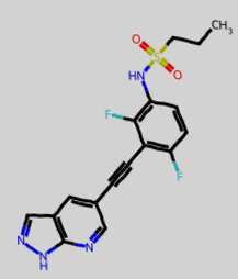 CCCS(=O)(=O)Nc1ccc(F)c(C#Cc2cnc3[nH]ncc3c2)c1F